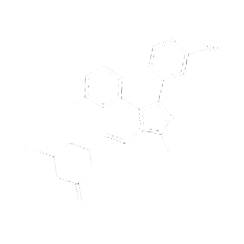 CNc1cc(-c2nc(C(C)C)n(/C=C/C3CC(O)CC(=O)O3)c2-c2cccc(C(F)(F)F)c2)ccn1